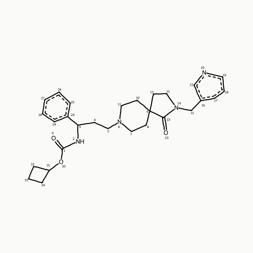 O=C(NC(CCN1CCC2(CC1)CCN(Cc1cccnc1)C2=O)c1ccccc1)OC1CCC1